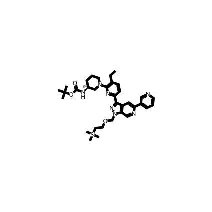 CCc1ccc(-c2nn(COCC[Si](C)(C)C)c3cnc(-c4cccnc4)cc23)nc1N1CCC[C@H](NC(=O)OC(C)(C)C)C1